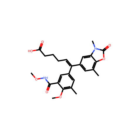 CONC(=O)c1cc(C(=CCCCC(=O)O)c2cc(C)c3oc(=O)n(C)c3c2)cc(C)c1OC